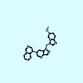 COc1ccc2ncc(Cn3ncc4ncc(-c5cncc6ccccc56)cc43)n2c1